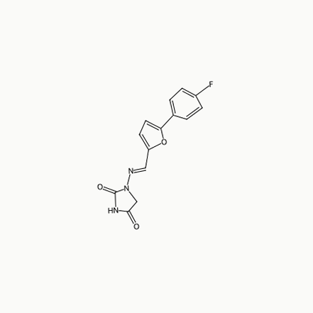 O=C1CN(N=Cc2ccc(-c3ccc(F)cc3)o2)C(=O)N1